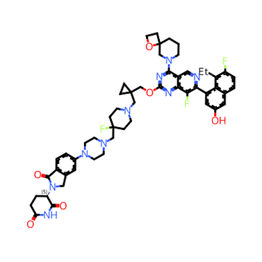 CCc1c(F)ccc2cc(O)cc(-c3ncc4c(N5CCCC6(CCO6)C5)nc(OCC5(CN6CCC(F)(CN7CCN(c8ccc9c(c8)CN([C@H]8CCC(=O)NC8=O)C9=O)CC7)CC6)CC5)nc4c3F)c12